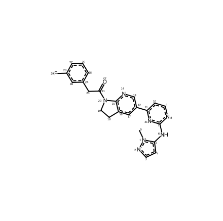 Cn1nccc1Nc1nccc(-c2cnc3c(c2)CCN3C(=O)Cc2cccc(F)c2)n1